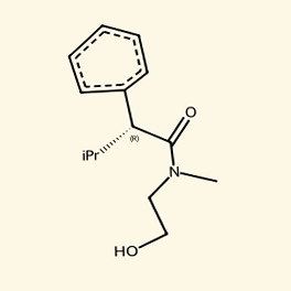 CC(C)[C@@H](C(=O)N(C)CCO)c1ccccc1